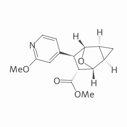 COC(=O)[C@H]1[C@@H]2O[C@@H]([C@H]3C[C@H]32)[C@@H]1c1ccnc(OC)c1